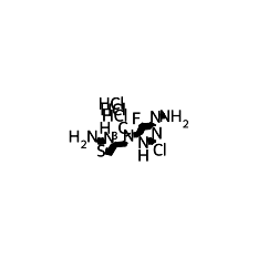 CN(Cc1csc(N)n1)c1[nH]c(Cl)n/c(=N\N)c1F.Cl.Cl.Cl